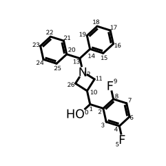 OC(c1cc(F)ccc1F)C1CN(C(c2ccccc2)c2ccccc2)C1